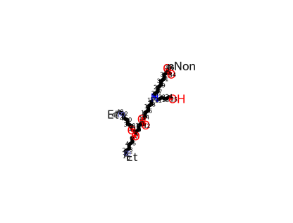 CC/C=C\CCCCOC(CCC(=O)OCCCCCCN(CCCCO)CCCCCCCC(=O)OCCCCCCCCC)OCCCC/C=C\CC